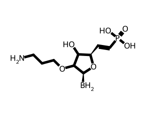 B[C@@H]1O[C@H](/C=C/P(=O)(O)O)C(O)C1OCCCN